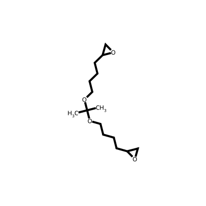 CC(C)(OCCCCC1CO1)OCCCCC1CO1